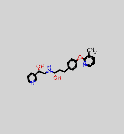 Cc1cccnc1Oc1ccc(CC[C@H](O)NC[C@H](O)c2cccnc2)cc1